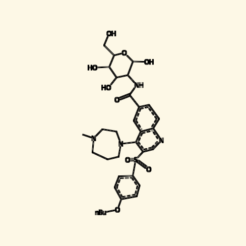 CCCCOc1ccc(S(=O)(=O)c2cnc3ccc(C(=O)NC4C(O)OC(CO)C(O)C4O)cc3c2N2CCCN(C)CC2)cc1